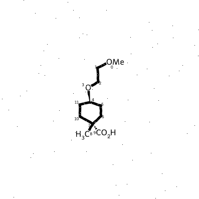 COCCO[C@H]1CC[C@](C)(C(=O)O)CC1